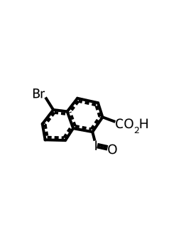 O=Ic1c(C(=O)O)ccc2c(Br)cccc12